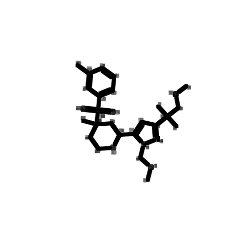 COCn1nc(C(C)(C)COC)cc1C1CC(C)(S(=O)(=O)c2cccc(C)c2)CCO1